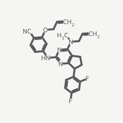 C=CCOc1cc(Nc2nc3c(c(N(C)CC=C)n2)CCC3c2ccc(F)cc2F)ccc1C#N